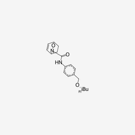 CC[C@@H](C)OCc1ccc(NC(=O)N2OC3C=CC2CC3)cc1